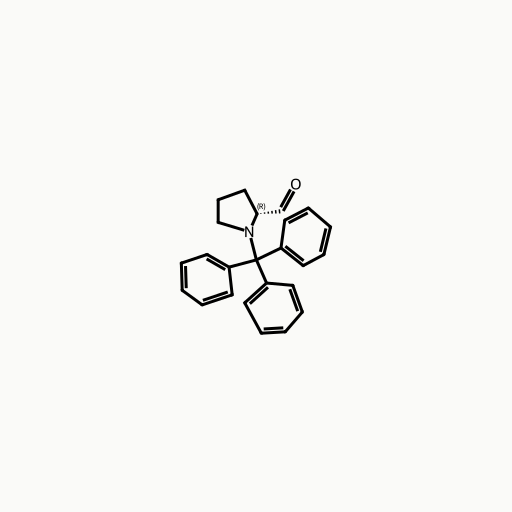 O=C[C@H]1CCCN1C(c1ccccc1)(c1ccccc1)c1ccccc1